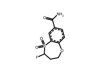 NC(=O)c1ccc2c(c1)S(=O)(=O)C(F)CCO2